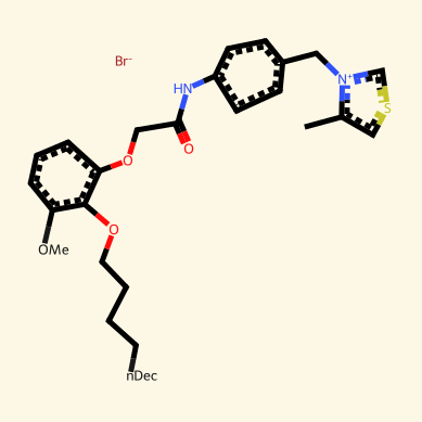 CCCCCCCCCCCCCCOc1c(OC)cccc1OCC(=O)Nc1ccc(C[n+]2cscc2C)cc1.[Br-]